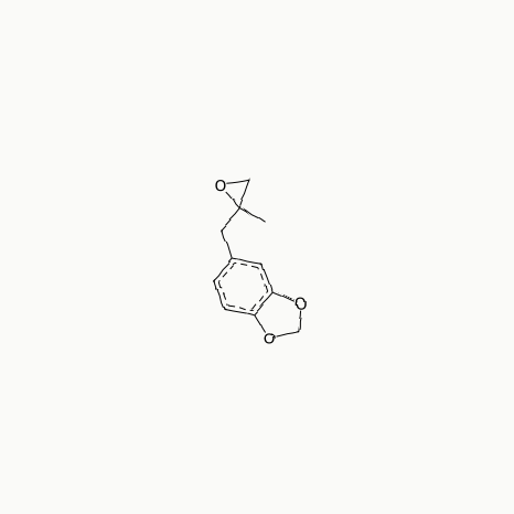 CC1(Cc2ccc3c(c2)OCO3)CO1